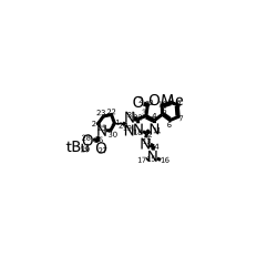 COC(=O)c1c(-c2ccccc2)nc(/N=C/N(C)C)n2nc([C@@H]3CCCN(C(=O)OC(C)(C)C)C3)nc12